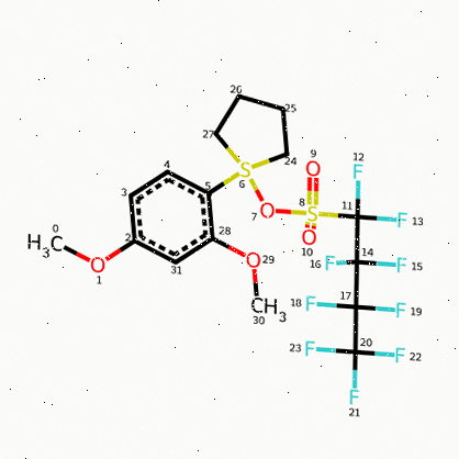 COc1ccc(S2(OS(=O)(=O)C(F)(F)C(F)(F)C(F)(F)C(F)(F)F)CCCC2)c(OC)c1